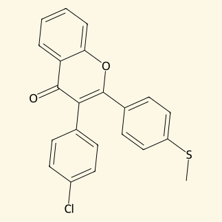 CSc1ccc(-c2oc3ccccc3c(=O)c2-c2ccc(Cl)cc2)cc1